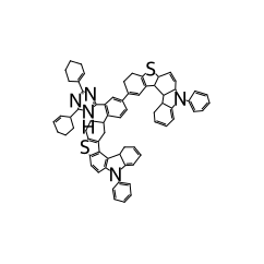 C1=CCC2C(=C1)N(c1ccccc1)c1ccc3sc4c(c3c12)CC(c1ccc(C2=CC3=C(CC2)SC2C=CC5C(C6CC=CC=C6N5c5ccccc5)C32)cc1C1=NC(C2=CCCCC2)=NC(C2C=CCCC2)N1)CC4